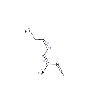 CC/C=C\C=C(\N)N=S